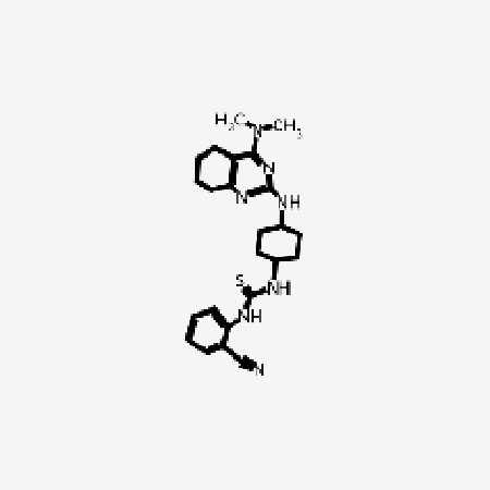 CN(C)c1nc(NC2CCC(NC(=S)Nc3ccccc3C#N)CC2)nc2c1CCCC2